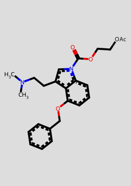 CC(=O)OCCOC(=O)n1cc(CCN(C)C)c2c(OCc3ccccc3)cccc21